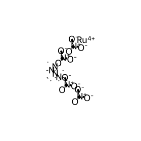 O=[N+]([O-])[O-].O=[N+]([O-])[O-].O=[N+]([O-])[O-].O=[N+]([O-])[O-].[N].[N].[N].[N].[Ru+4]